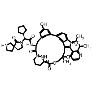 CCn1c(-c2cccnc2C(C)C)c2c3cc(ccc31)-c1cc(O)cc(c1)C[C@H](NC(=O)[C@H](C1CCCC1)N1CC[C@]3(CCNC3)C1=O)C(=O)N1CCC[C@H](N1)C(=O)OCC(C)(C)C2